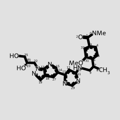 CNC(=O)c1ccc(C(C)CNc2cc(-c3cnc4c(cnn4C[C@@H](O)CO)c3)ncn2)c(OC)c1